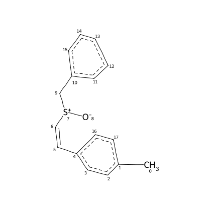 Cc1ccc(/C=C\[S+]([O-])Cc2ccccc2)cc1